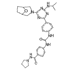 CC(C)Nc1nc(-c2ccc(NC(=O)Nc3ccc(C(=O)NN4CCCC4)cc3)cc2)nc(N2CC3CCC(C2)O3)n1